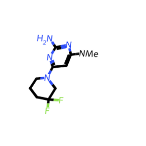 CNc1cc(N2CCCC(F)(F)C2)nc(N)n1